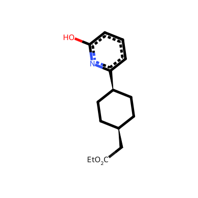 CCOC(=O)C[C@H]1CC[C@@H](c2cccc(O)n2)CC1